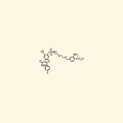 CNC(=O)c1c(-c2ccc(F)cc2)oc2cc(CS(=O)(=O)NCCOCCOCc3ccc(C(=O)O)c(N)c3)c(C3CC3)cc12